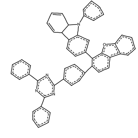 C1=CC2c3ccc(-c4c(-c5ccc(-c6nc(-c7ccccc7)nc(-c7ccccc7)n6)cc5)ccc5c4oc4ccccc45)cc3N(c3ccccc3)C2C=C1